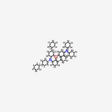 c1ccc(-c2ccc(N(c3ccc(-c4ccccc4)cc3)c3cccc4c3Oc3ccc(N(c5ccccc5)c5ccccc5)c5cccc-4c35)cc2)cc1